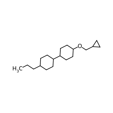 CCCC1CCC(C2CCC(OCC3CC3)CC2)CC1